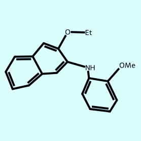 CCOc1cc2ccccc2cc1Nc1ccccc1OC